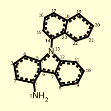 Nc1cccc2c1c1ccccc1n2-c1cccc2ccccc12